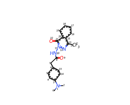 CN(C)c1ccc(CC(=O)Nn2nc(C(F)(F)F)c3ccccc3c2=O)cc1